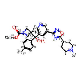 CC(=O)N1CCC(c2nc(-c3cncc(C(O)(c4ccc(C(C)C)cc4)C4(C)CN(C(=O)OC(C)(C)C)C4)c3)no2)CC1